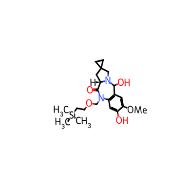 COc1cc2c(cc1O)N(COCC[Si](C)(C)C)C(=O)[C@@H]1CC3(CC3)CN1C2O